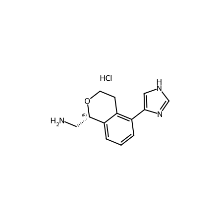 Cl.NC[C@@H]1OCCc2c(-c3c[nH]cn3)cccc21